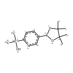 CC1(C)OB(c2ccc([13C]([13CH3])([13CH3])O)nc2)OC1(C)C